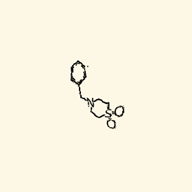 O=S1(=O)CCN(Cc2c[c]ccc2)CC1